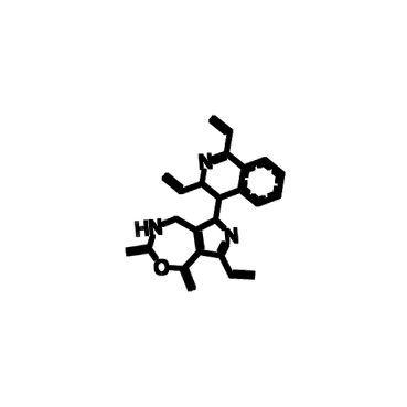 C=CC1=NC(C2c3ccccc3C(C=C)=NC2C=C)C2=C1C(=C)OC(=C)NC2